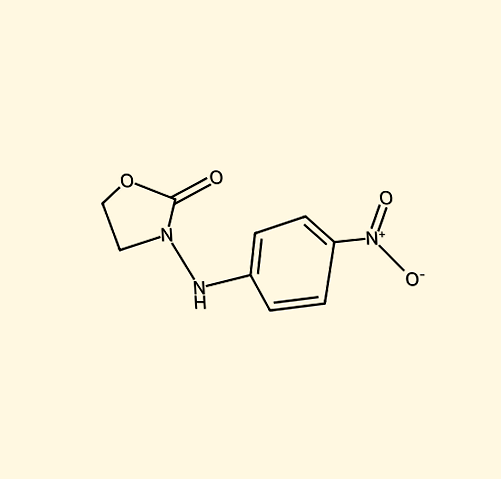 O=C1OCCN1Nc1ccc([N+](=O)[O-])cc1